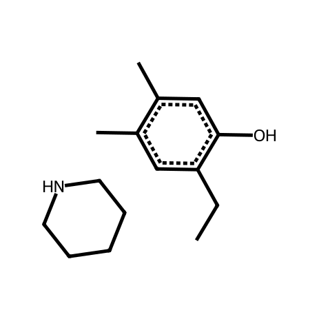 C1CCNCC1.CCc1cc(C)c(C)cc1O